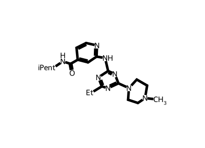 CCCC(C)NC(=O)c1ccnc(Nc2nc(CC)nc(N3CCN(C)CC3)n2)c1